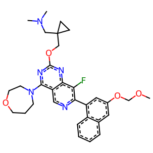 COCOc1cc(-c2ncc3c(N4CCCOCC4)nc(OCC4(CN(C)C)CC4)nc3c2F)c2ccccc2c1